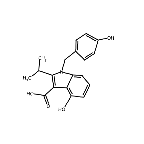 CC(C)c1c(C(=O)O)c2c(O)cccc2n1Cc1ccc(O)cc1